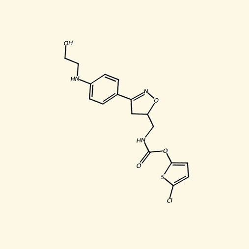 O=C(NCC1CC(c2ccc(NCCO)cc2)=NO1)Oc1ccc(Cl)s1